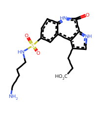 NCCCCNS(=O)(=O)c1ccc2[nH]c(=O)c3[nH]cc(CCC(=O)O)c3c2c1